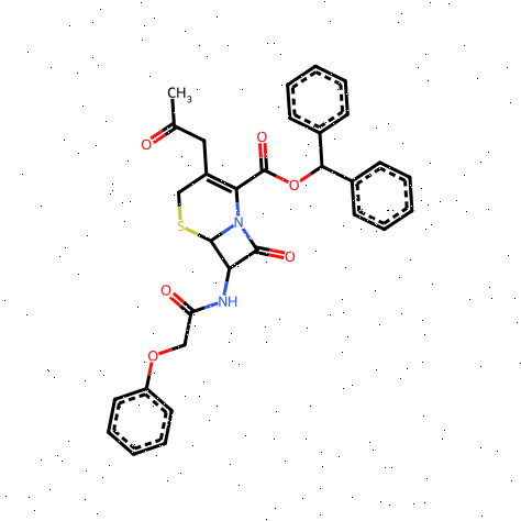 CC(=O)CC1=C(C(=O)OC(c2ccccc2)c2ccccc2)N2C(=O)C(NC(=O)COc3ccccc3)C2SC1